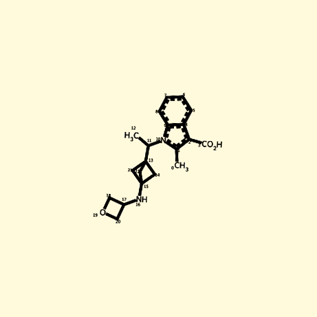 Cc1c(C(=O)O)c2ccccc2n1C(C)C12CC(NC3COC3)(C1)C2